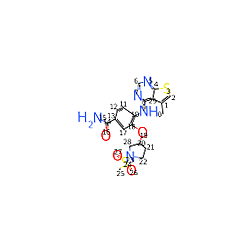 Cc1csc2ncnc(Nc3ccc(C(N)=O)cc3OC3CCN(S(C)(=O)=O)C3)c12